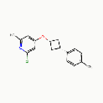 N#Cc1cc(O[C@H]2C[C@@H](c3ccc(C(F)(F)F)cc3)C2)cc(Cl)n1